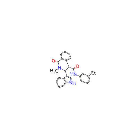 CCc1cccc(NC(=O)C2c3ccccc3C(=O)N(C)C2c2c[nH]c3ccccc23)c1